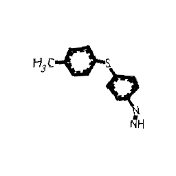 Cc1ccc(Sc2ccc(N=N)cc2)cc1